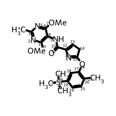 COc1nc(C)nc(OC)c1NC(=O)C1=CCC(Oc2cc([Si](C)(C)C)ccc2C)=N1